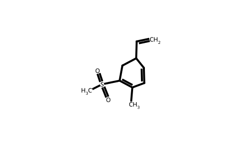 C=CC1C=CC(C)=C(S(C)(=O)=O)C1